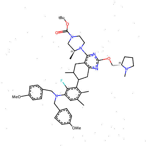 COc1ccc(CN(Cc2ccc(OC)cc2)c2cc(C)c(C)c(C3Cc4nc(OC[C@@H]5CCCN5C)nc(N5CCN(C(=O)OC(C)(C)C)C[C@@H]5C)c4CC3C)c2F)cc1